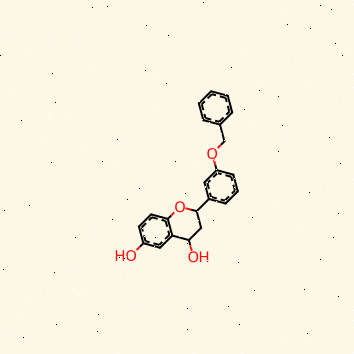 Oc1ccc2c(c1)C(O)CC(c1cccc(OCc3ccccc3)c1)O2